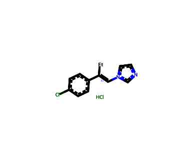 CC/C(=C\n1ccnc1)c1ccc(Cl)cc1.Cl